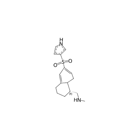 CNC[C@@H]1CCCC2=CC(S(=O)(=O)c3cc[nH]c3)=CCC21